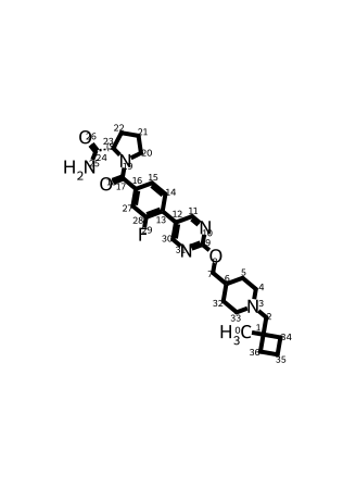 CC1(CN2CCC(COc3ncc(-c4ccc(C(=O)N5CCC[C@H]5C(N)=O)cc4F)cn3)CC2)CCC1